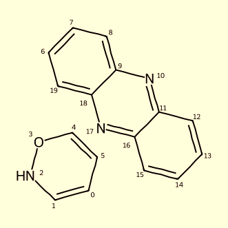 C1=CNOC=C1.c1ccc2nc3ccccc3nc2c1